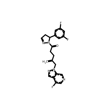 C=C(CCC(=O)N1N=CCC1c1cc(F)cc(F)c1)Cn1ncc2c(F)cncc21